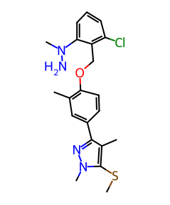 CSc1c(C)c(-c2ccc(OCc3c(Cl)cccc3N(C)N)c(C)c2)nn1C